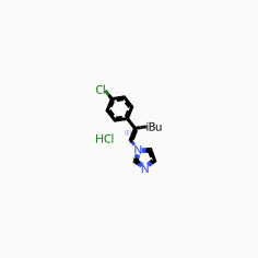 CCC(C)/C(=C\n1ccnc1)c1ccc(Cl)cc1.Cl